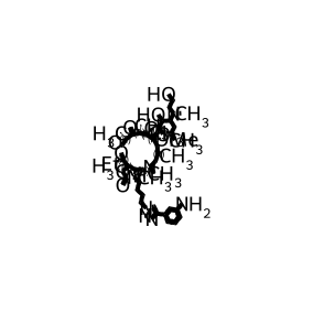 CC[C@H]1OC(=O)[C@H](C)C(=O)[C@H](C)[C@@H](O[C@@H]2OC(C)CC(N(C)CCO)C2O)[C@](C)(OC)C[C@@H](C)CN(C)[C@H](C)[C@H]2N(CCCCn3cc(-c4cccc(N)c4)nn3)C(=O)O[C@]12C